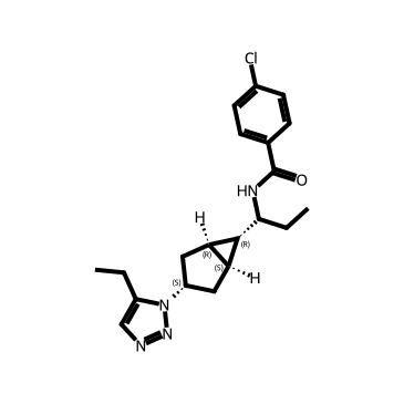 CCc1cnnn1[C@@H]1C[C@@H]2[C@H](C1)[C@H]2C(CC)NC(=O)c1ccc(Cl)cc1